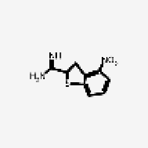 N=C(N)C1Cc2c(cccc2[N+](=O)[O-])S1